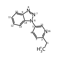 CCc1ccc(-n2nnc3ccccc32)cn1